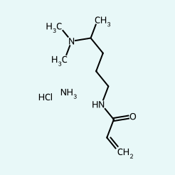 C=CC(=O)NCCCC(C)N(C)C.Cl.N